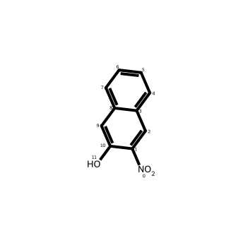 O=[N+]([O-])c1cc2ccccc2[c]c1O